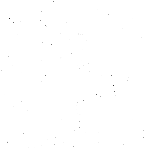 CCCCCCCCCC(CCO)CCCCC(=O)O